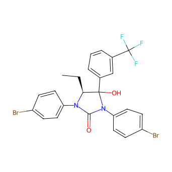 CC[C@@H]1N(c2ccc(Br)cc2)C(=O)N(c2ccc(Br)cc2)C1(O)c1cccc(C(F)(F)F)c1